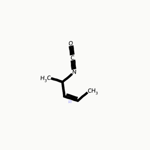 C/C=C\C(C)N=C=O